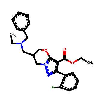 CCOC(=O)c1c(-c2ccccc2F)nn2c1OCC(CN(CC)Cc1ccccc1)C2